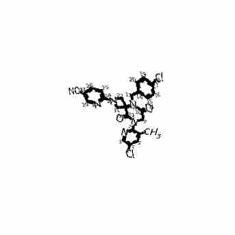 Cc1cc(Cl)cnc1N1CC(=O)N(Cc2ccc(Cl)cc2)C2(CN(c3ccc(C#N)cn3)C2)C1=O